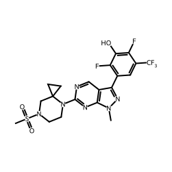 Cn1nc(-c2cc(C(F)(F)F)c(F)c(O)c2F)c2cnc(N3CCN(S(C)(=O)=O)CC34CC4)nc21